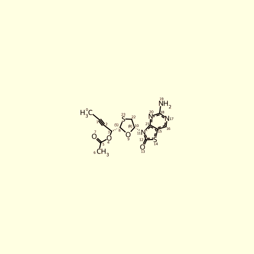 CC#CC(OC(C)=O)[C@H]1O[C@@H](n2c(=O)sc3cnc(N)nc32)CS1